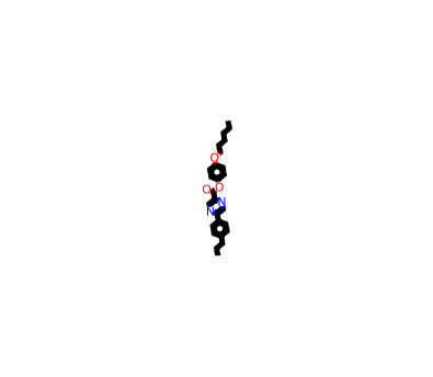 CCCCCCOc1ccc(OC(=O)c2cnc(-c3ccc(CCC)cc3)cn2)cc1